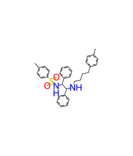 Cc1ccc(CCCCN[C@@H](c2ccccc2)[C@@H](NS(=O)(=O)c2ccc(C)cc2)c2ccccc2)cc1